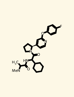 CNC(C)C(=O)NC(C(=O)N1CCC[C@H]1c1ccnc(Oc2ccc(F)cc2)c1)C1CCCCC1